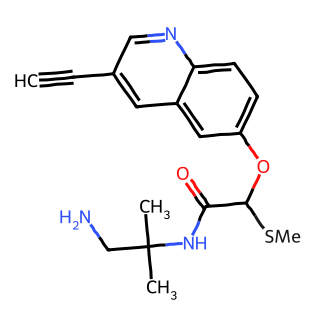 C#Cc1cnc2ccc(OC(SC)C(=O)NC(C)(C)CN)cc2c1